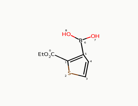 CCOC(=O)c1sccc1B(O)O